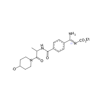 CCOC(=O)/N=C(\N)c1ccc(C(=O)NC(C)C(=O)N2CCC([O])CC2)cc1